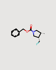 C[C@H]1CN(C(=O)OCc2ccccc2)C[C@H]1CF